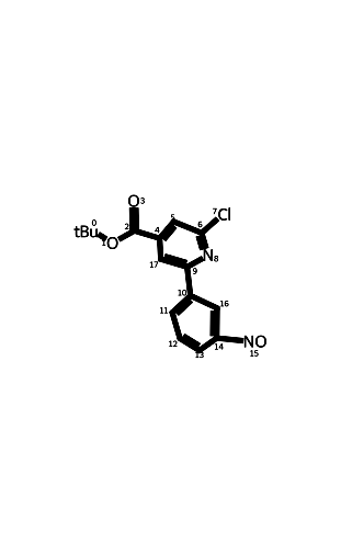 CC(C)(C)OC(=O)c1cc(Cl)nc(-c2cccc(N=O)c2)c1